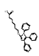 O=C(O)CCCCCCOc1nc(-c2ccccc2)c(-c2ccccc2)n1-c1ccccc1